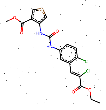 CCOC(=O)/C(Cl)=C/c1cc(NC(=O)Nc2cscc2C(=O)OC)ccc1Cl